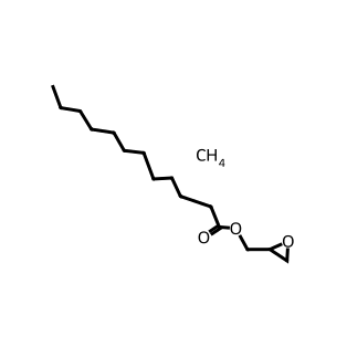 C.CCCCCCCCCCCC(=O)OCC1CO1